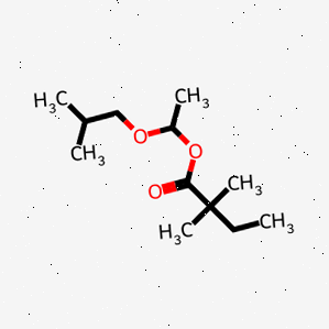 CCC(C)(C)C(=O)OC(C)OCC(C)C